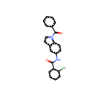 O=C(Nc1ccc2c(ccn2C(=O)c2ccccc2)c1)c1ccccc1Cl